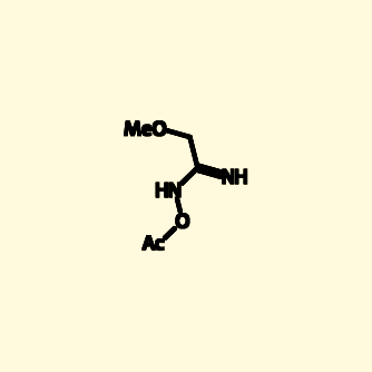 COCC(=N)NOC(C)=O